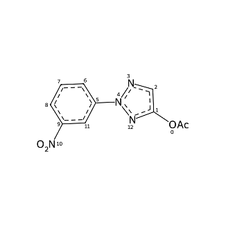 CC(=O)Oc1cnn(-c2cccc([N+](=O)[O-])c2)n1